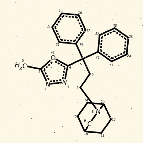 Cc1nnc(C(CCN2CC3CCC2CC3)(c2ccccc2)c2ccccc2)o1